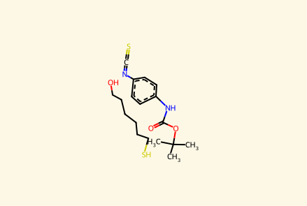 CC(C)(C)OC(=O)Nc1ccc(N=C=S)cc1.OCCCCCCS